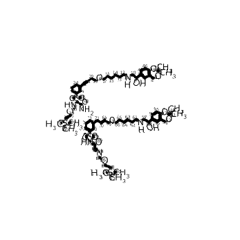 CC1(C)OCc2cc([C@@H](O)CNCCCCCCOCCC#Cc3cccc(S(=O)(=O)C(NCOCC[Si](C)(C)C)C(N)=O)c3)ccc2O1.CC1(C)OCc2cc([C@@H](O)CNCCCCCCOCCCCc3cccc(S(=O)(=O)NC(=O)C=NCOCC[Si](C)(C)C)c3)ccc2O1